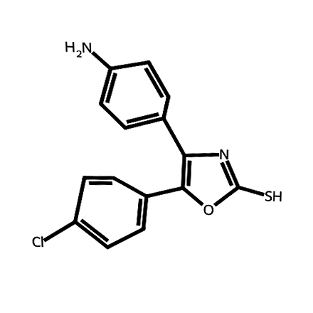 Nc1ccc(-c2nc(S)oc2-c2ccc(Cl)cc2)cc1